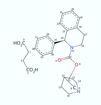 O=C(O)CCC(=O)O.O=C(OC1CN2CCC1CC2)N1CCc2ccccc2[C@@H]1c1ccccc1